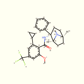 COc1cc(C(F)(F)F)cc(C2CC2)c1C(=O)N[C@]1(c2ccccc2)CC[C@H]2CC[C@@H]1N2C